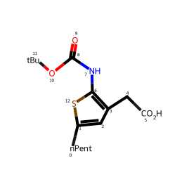 CCCCCc1cc(CC(=O)O)c(NC(=O)OC(C)(C)C)s1